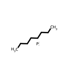 CCCCCCCC.[P]